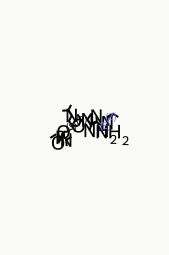 C/C=C\N=C(\N)c1ncn([C@H]2CN(C(C)C)C[C@@H](COP(=O)(CC)N(C)C)O2)c1N